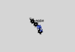 COc1cc(-n2nnc(-c3ccccn3)n2)ccc1-c1ccc(C)cc1